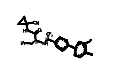 Cc1ccc(-c2ccc([C@H](N[C@@H](CC(C)C)C(=O)NC3(C#N)CC3)C(F)(F)F)cc2)cc1F